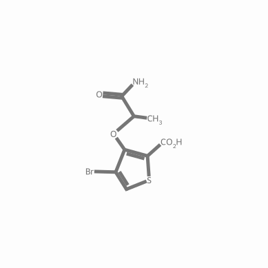 CC(Oc1c(Br)csc1C(=O)O)C(N)=O